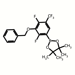 CC1(C)OB(c2cc(C(F)(F)F)c(F)c(OCc3ccccc3)c2F)OC1(C)C